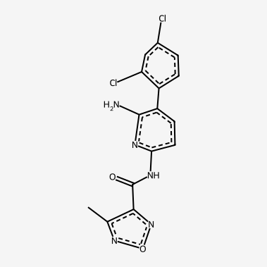 Cc1nonc1C(=O)Nc1ccc(-c2ccc(Cl)cc2Cl)c(N)n1